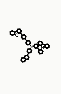 c1cc(-c2ccccc2-n2c3ccccc3c3ccccc32)cc(N(c2ccc(-c3ccc(-c4cccc5c4oc4ccccc45)cc3)cc2)c2ccc(-c3ccc4ccccc4c3)cc2)c1